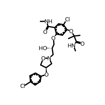 CNC(=O)c1cc(Cl)c(OC(C)(C)C(=O)NC)cc1OC[C@@H](O)CN1C[C@@H](Oc2ccc(Cl)cc2)CO1